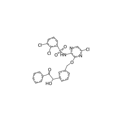 O=C(c1ccccc1)C(O)c1cccc(COc2nc(Cl)cnc2NS(=O)(=O)c2cccc(Cl)c2Cl)c1